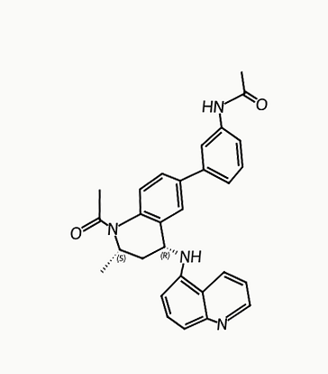 CC(=O)Nc1cccc(-c2ccc3c(c2)[C@H](Nc2cccc4ncccc24)C[C@H](C)N3C(C)=O)c1